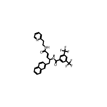 CN(C(=O)c1cc(C(F)(F)F)cc(C(F)(F)F)c1)C(C=CC(=O)NCCc1ccccn1)Cc1ccc2ccccc2c1